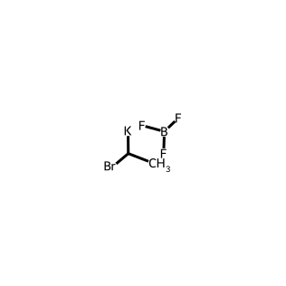 C[CH]([K])Br.FB(F)F